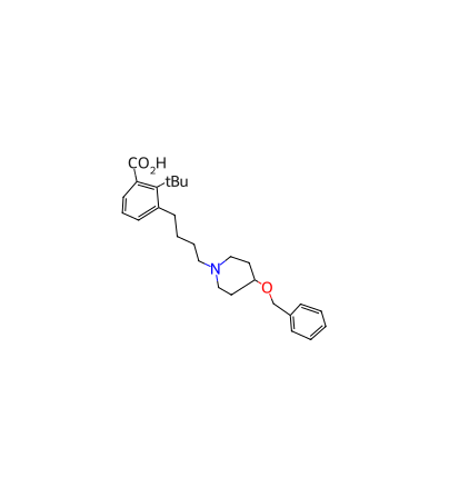 CC(C)(C)c1c(CCCCN2CCC(OCc3ccccc3)CC2)cccc1C(=O)O